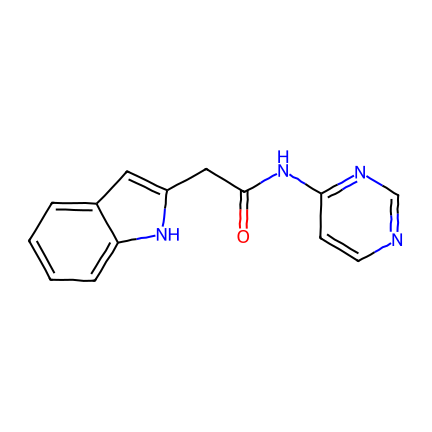 O=C(Cc1cc2ccccc2[nH]1)Nc1ccncn1